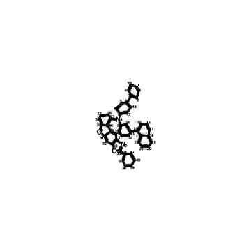 c1ccc(-c2ccc(N(c3cccc(-c4cccc5ccccc45)c3)c3cccc4oc5cc6oc(-c7ccccc7)nc6cc5c34)cc2)cc1